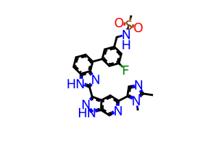 Cc1ncc(-c2cc3c(-c4nc5c(-c6cc(F)cc(CNS(C)(=O)=O)c6)cccc5[nH]4)n[nH]c3cn2)n1C